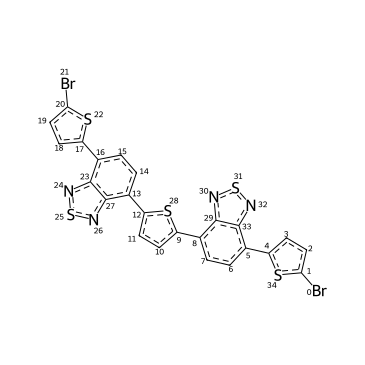 Brc1ccc(-c2ccc(-c3ccc(-c4ccc(-c5ccc(Br)s5)c5nsnc45)s3)c3nsnc23)s1